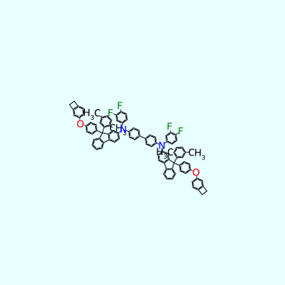 Cc1ccc(C)c(C2(c3ccc(Oc4ccc5c(c4)CC5)cc3)c3ccccc3-c3ccc(N(c4ccc(-c5ccc(N(c6ccc(F)c(F)c6)c6ccc7c(c6)C(c6ccc(Oc8ccc9c(c8)CC9)cc6)(c6cc(C)ccc6C)c6ccccc6-7)cc5)cc4)c4ccc(F)c(F)c4)cc32)c1